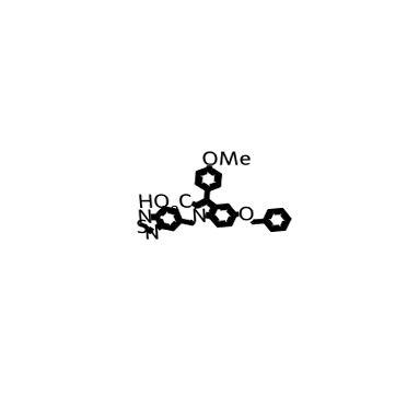 COc1ccc(-c2c(C(=O)O)n(Cc3ccc4nsnc4c3)c3ccc(OCc4ccccc4)cc23)cc1